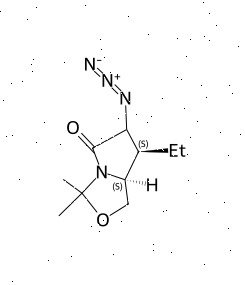 CC[C@@H]1C(N=[N+]=[N-])C(=O)N2[C@@H]1COC2(C)C